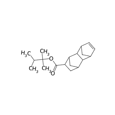 CC(C)C(C)(C)OC(=O)C1CC2CC1C1C3C=CC(C3)C21